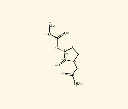 COC(=O)CC1CC[C@@H](CC(=O)OC(C)(C)C)C1=O